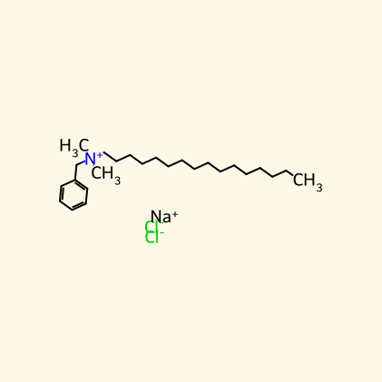 CCCCCCCCCCCCCCCC[N+](C)(C)Cc1ccccc1.[Cl-].[Cl-].[Na+]